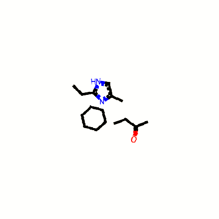 C1CCCCC1.CCC(C)=O.CCc1nc(C)c[nH]1